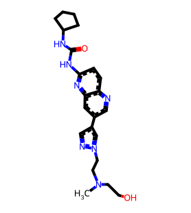 CN(CCO)CCn1cc(-c2cnc3ccc(NC(=O)NC4CCCC4)nc3c2)cn1